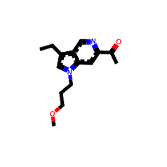 CCc1cn(CCCOC)c2cc(C(C)=O)ncc12